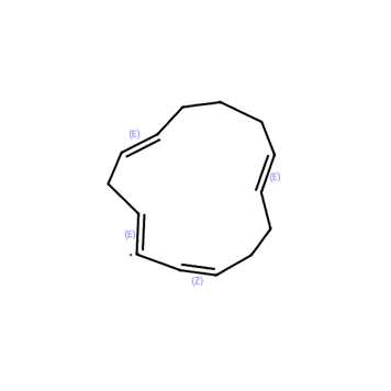 [C]1=C/C/C=C/CCC/C=C/CC\C=C/1